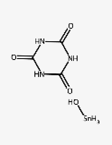 O=c1[nH]c(=O)[nH]c(=O)[nH]1.[OH][SnH3]